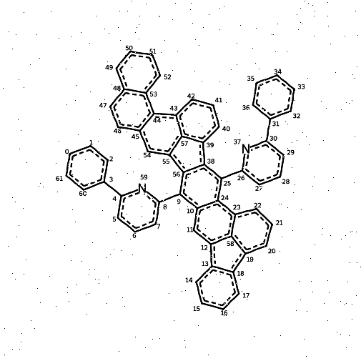 c1ccc(-c2cccc(-c3c4cc5c6ccccc6c6cccc(c4c(-c4cccc(-c7ccccc7)n4)c4c7cccc8c9c(ccc%10ccccc%109)cc(c34)c78)c65)n2)cc1